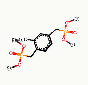 CCOP(=O)(Cc1ccc(CP(=O)(OCC)OCC)c(OC)c1)OCC